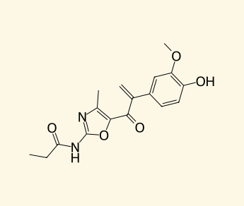 C=C(C(=O)c1oc(NC(=O)CC)nc1C)c1ccc(O)c(OC)c1